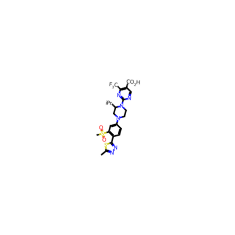 Cc1nnc(-c2ccc(N3CCN(c4ncc(C(=O)O)c(C(F)(F)F)n4)C(C(C)C)C3)cc2S(C)(=O)=O)s1